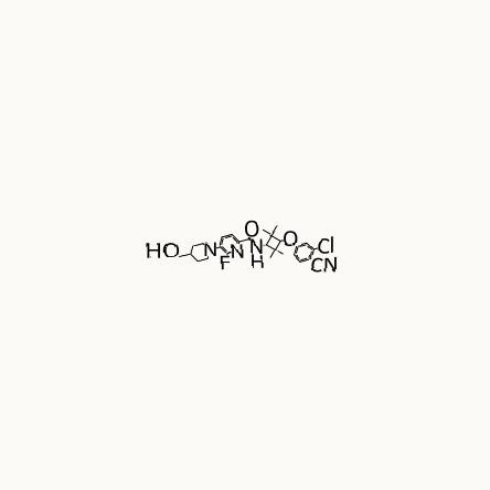 CC1(C)[C@H](NC(=O)c2ccc(N3CCC(CO)CC3)c(F)n2)C(C)(C)[C@H]1Oc1ccc(C#N)c(Cl)c1